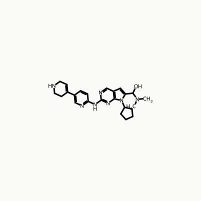 CN(C)C(O)c1cc2cnc(Nc3ccc(C4=CCNCC4)cn3)nc2n1C1CCCC1